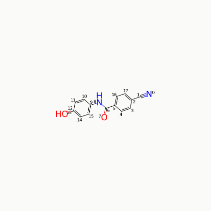 N#Cc1ccc(C(=O)Nc2ccc(O)cc2)cc1